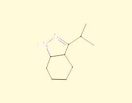 CC(C)C1=NNC2CCCCC12